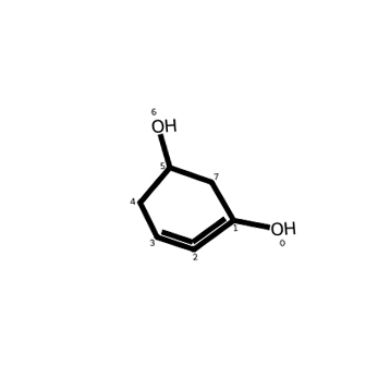 OC1=C=CCC(O)C1